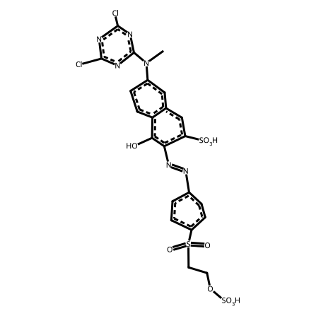 CN(c1ccc2c(O)c(N=Nc3ccc(S(=O)(=O)CCOS(=O)(=O)O)cc3)c(S(=O)(=O)O)cc2c1)c1nc(Cl)nc(Cl)n1